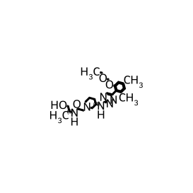 CCOCOc1cc(C)cc(C)c1-c1cnc(N[C@@H]2CCCN(CC(=O)N[C@@H](C)CO)C2)nn1